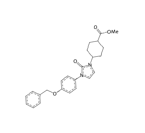 COC(=O)C1CCC(n2ccn(-c3ccc(OCc4ccccc4)cc3)c2=O)CC1